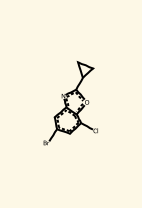 Clc1cc(Br)cc2nc(C3CC3)oc12